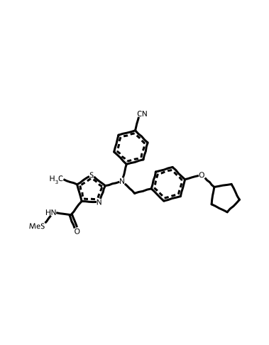 CSNC(=O)c1nc(N(Cc2ccc(OC3CCCC3)cc2)c2ccc(C#N)cc2)sc1C